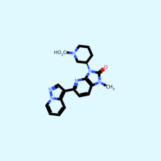 Cn1c(=O)n([C@@H]2CCCN(C(=O)O)C2)c2nc(-c3cnn4ccccc34)ccc21